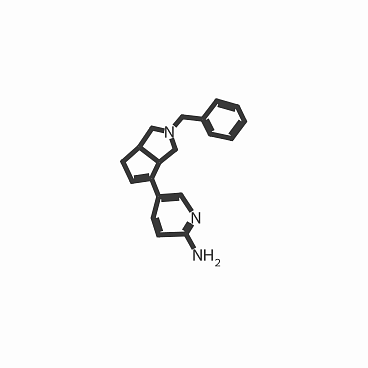 Nc1ccc(C2=CCC3CN(Cc4ccccc4)CC23)cn1